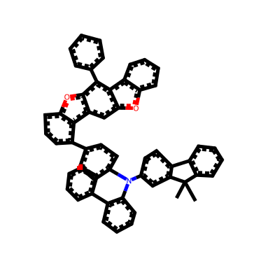 CC1(C)c2ccccc2-c2ccc(N(c3ccc(-c4cccc5oc6c(-c7ccccc7)c7c(cc6c45)oc4ccccc47)cc3)c3ccccc3-c3ccccc3)cc21